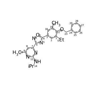 CCc1cc(-c2nc(-c3cc(C)nc(NC(C)C)n3)no2)cc(C)c1OCc1ccccc1